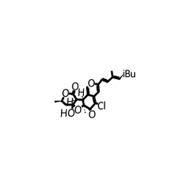 CC[C@H](C)/C=C(C)/C=C/C1=CC2=C(Cl)C(=O)[C@@]3(C)OC4(O)C[C@@H](C)OC(=O)[C@H]4[C@H]3C2=CO1